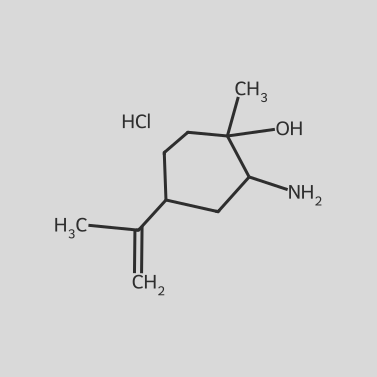 C=C(C)C1CCC(C)(O)C(N)C1.Cl